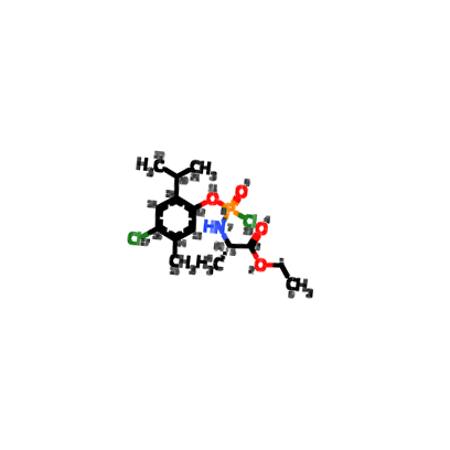 CCOC(=O)[C@H](C)NP(=O)(Cl)Oc1cc(C)c(Cl)cc1C(C)C